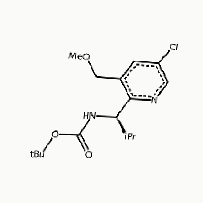 COCc1cc(Cl)cnc1[C@H](NC(=O)OC(C)(C)C)C(C)C